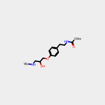 COC(=O)NCCc1ccc(OCC(O)CNC(C)(C)C)cc1